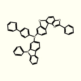 c1ccc(-c2ccc(N(c3ccc4c(c3)oc3ccc5oc(-c6ccccc6)nc5c34)c3ccc4c5ccccc5n(-c5ccccc5)c4c3)cc2)cc1